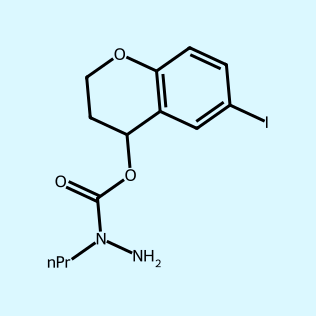 CCCN(N)C(=O)OC1CCOc2ccc(I)cc21